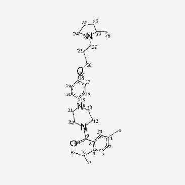 Cc1ccc(C(C)C)c(C(=O)N2CCN(c3ccc(OCCCN4CCCC4C)cc3)CC2)c1